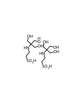 O=S(=O)(O)CCNC(CO)(CO)CO.O=S(=O)(O)CCNC(CO)(CO)CO